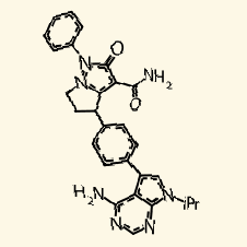 CC(C)n1cc(-c2ccc(C3CCn4c3c(C(N)=O)c(=O)n4-c3ccccc3)cc2)c2c(N)ncnc21